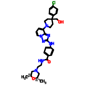 C[C@@H]1CN(CCNC(=O)c2ccc(Nc3nc4c(N5CCC(CO)(c6ccc(Cl)cc6)CC5)cccn4n3)cc2)C[C@H](C)O1